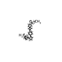 CCOC(=O)N1CCC2(CC(N3CCC(C4CCCN4c4nnc(C)o4)CC3)C2)C1